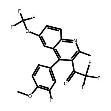 COc1ccc(-c2c(C(=O)C(F)(F)F)c(C)nc3ccc(OC(F)(F)F)cc23)cc1F